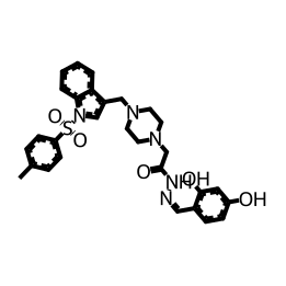 Cc1ccc(S(=O)(=O)n2cc(CN3CCN(CC(=O)N/N=C\c4ccc(O)cc4O)CC3)c3ccccc32)cc1